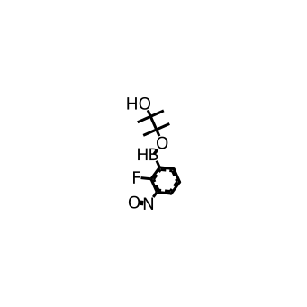 CC(C)(O)C(C)(C)OBc1cccc(N=O)c1F